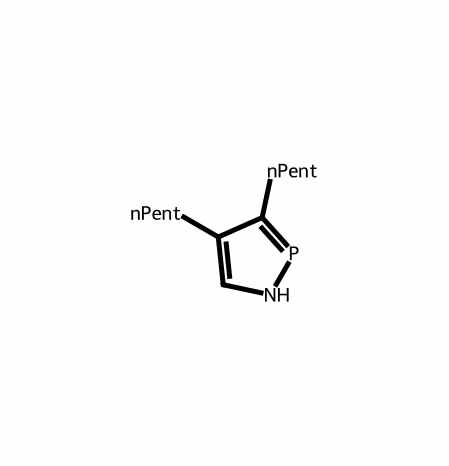 CCCCCc1c[nH]pc1CCCCC